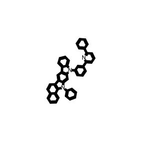 c1ccc(-c2cccc(-c3cccc(-n4c5ccccc5c5cc6c7ccc8ccccc8c7n(-c7ccccc7)c6cc54)c3)n2)cc1